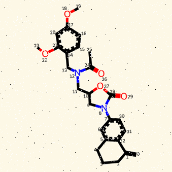 C=C1CCCc2cc(N3CC(CN(Cc4ccc(OC)cc4OC)C(C)=O)OC3=O)ccc21